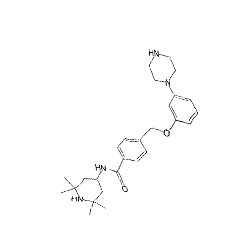 CC1(C)CC(NC(=O)c2ccc(COc3cccc(N4CCNCC4)c3)cc2)CC(C)(C)N1